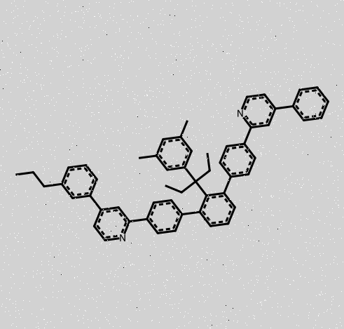 CCCc1cccc(-c2ccnc(-c3ccc(-c4cccc(-c5ccc(-c6cc(-c7ccccc7)ccn6)cc5)c4C(CC)(CC)c4cc(C)cc(C)c4)cc3)c2)c1